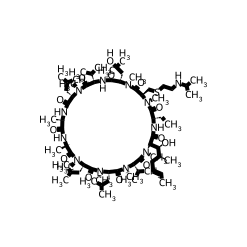 C/C=C/C[C@@H](C)[C@@H](O)[C@H]1C(=O)N[C@@H](CC)C(=O)N(C)[C@H](CSCCNC(C)C)C(=O)N(C)[C@@H](CC(C)(C)O)C(=O)N[C@@H](C(C)C)C(=O)N(C)[C@@H](CC(C)C)C(=O)N[C@@H](C)C(=O)N[C@H](C)C(=O)N(C)[C@@H](CC(C)C)C(=O)N(C)[C@@H](CC(C)C)C(=O)N(C)[C@@H](C(C)C)C(=O)N1C